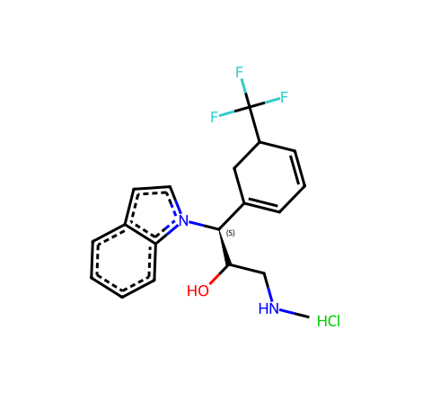 CNCC(O)[C@H](C1=CC=CC(C(F)(F)F)C1)n1ccc2ccccc21.Cl